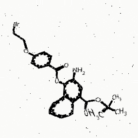 CC(C)(C)OC(=O)c1cc(N)c(OC(=O)c2ccc(OCCBr)cc2)c2ccccc12